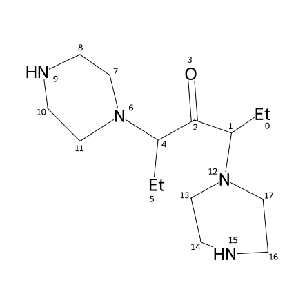 CCC(C(=O)C(CC)N1CCNCC1)N1CCNCC1